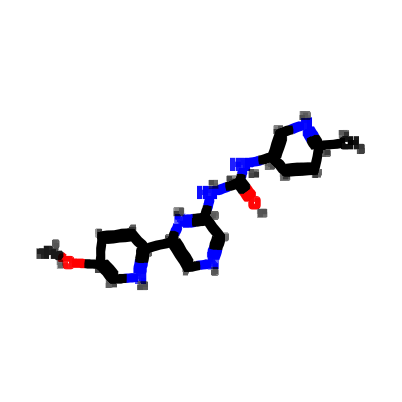 CCCOc1ccc(-c2cncc(NC(=O)Nc3ccc(C)nc3)n2)nc1